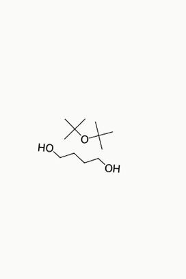 CC(C)(C)OC(C)(C)C.OCCCCO